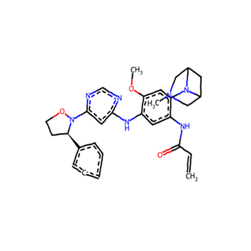 C=CC(=O)Nc1cc(Nc2cc(N3OCC[C@@H]3c3ccccc3)ncn2)c(OC)cc1N1C2CC1CN(C)C2